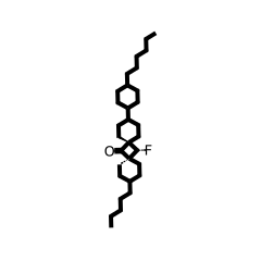 CCCCCCC1CCC(C2CC[C@]3(CC2)C(=O)[C@@]2(CCC(CCCCC)CC2)[C@H]3F)CC1